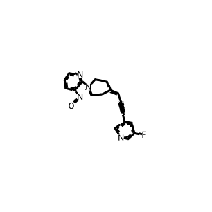 O=Nc1cccnc1N1CCC(=CC#Cc2cncc(F)c2)CC1